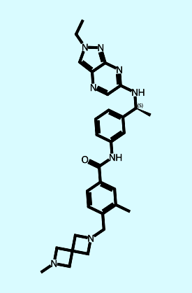 CCn1cc2ncc(N[C@@H](C)c3cccc(NC(=O)c4ccc(CN5CC6(CN(C)C6)C5)c(C)c4)c3)nc2n1